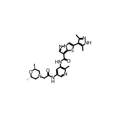 Cc1ncc(NC(=O)CN2C[C@H](C)O[C@@H](C)C2)cc1NC(=O)c1cnn2cc(-c3c(C)n[nH]c3C)sc12